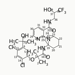 CC(C)(Oc1cc(C(C)(C)O)c(Cl)cc1Cl)C(=O)NC12CCCC(CC1)N2c1ncccc1C(=O)NCC(O)C(F)(F)F